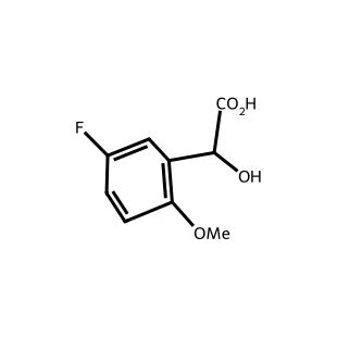 COc1ccc(F)cc1C(O)C(=O)O